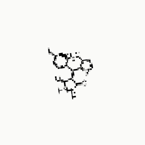 O=C1NNC(=O)C1=C(c1ccc(I)cc1)c1sccc1C(=O)O